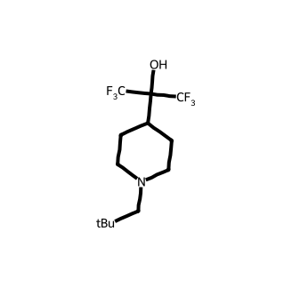 CC(C)(C)CN1CCC(C(O)(C(F)(F)F)C(F)(F)F)CC1